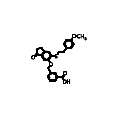 COc1ccc(CCSc2cc3c(cc2OCc2cccc(C(=O)O)c2)C(=O)CC3)cc1